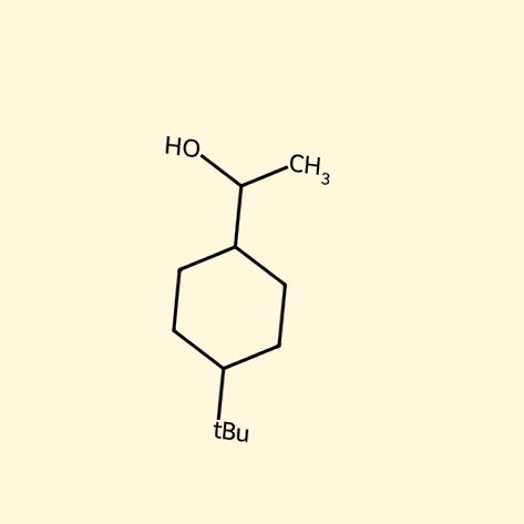 CC(O)C1CCC(C(C)(C)C)CC1